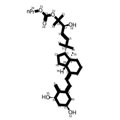 C=C1/C(=C\C=C2/CCC[C@]3(C)[C@@H](C(C)(C)/C=C/[C@H](O)C(C)(C)OC(=O)OCCC)CC[C@@H]23)C[C@@H](O)C[C@@H]1O